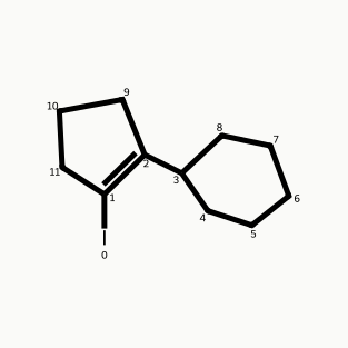 IC1=C(C2CCCCC2)CCC1